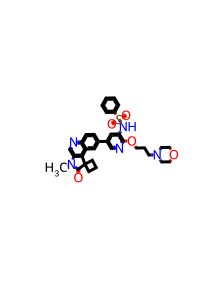 CN1C(=O)C2(CCC2)c2c1cnc1ccc(-c3cnc(OCCCN4CCOCC4)c(NS(=O)(=O)c4ccccc4)c3)cc21